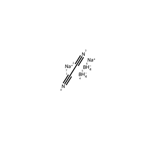 N#CC#N.[BH4-].[BH4-].[Na+].[Na+]